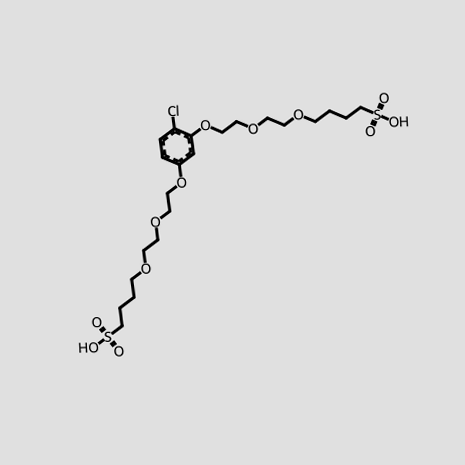 O=S(=O)(O)CCCCOCCOCCOc1ccc(Cl)c(OCCOCCOCCCCS(=O)(=O)O)c1